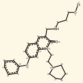 CCOCCCNCc1cc2ccc(Oc3ccccc3)cc2n(CCN2CCCCC2)c1=O